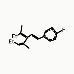 CC/C=C(/C)C(/C=C/c1ccc(F)cc1)=C(C)CC